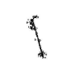 CB(O)NCCCCN(CC(CCCCCCNC(=O)CCCCCCCCCCCNC(=O)CCCCCCCCCCCNC(=O)[C@H](O)[C@@H](O)[C@H](O)[C@H](O)CO)CN(CCCCNB(C)O)B(C)O)B(C)O